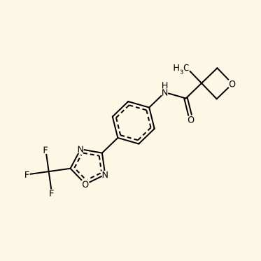 CC1(C(=O)Nc2ccc(-c3noc(C(F)(F)F)n3)cc2)COC1